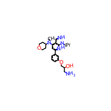 CC(C)Nc1nc(-c2cccc(OCC(O)CN)c2)cc(N(C)C2CCOCC2)c1C=N